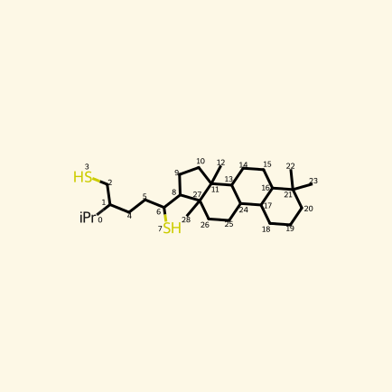 CC(C)C(CS)CCC(S)C1CCC2(C)C3CCC4C(CCCC4(C)C)C3CCC12C